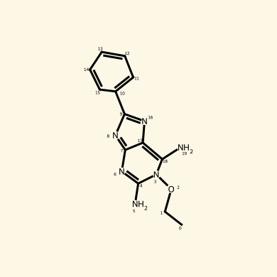 CCOn1c(N)nc2nc(-c3ccccc3)nc-2c1N